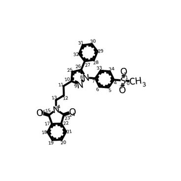 CS(=O)(=O)c1ccc(-n2nc(CCCN3C(=O)c4ccccc4C3=O)cc2-c2ccccc2)cc1